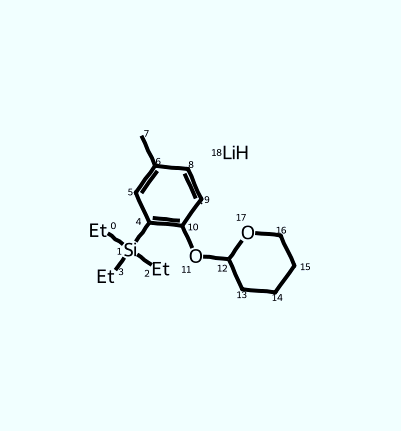 CC[Si](CC)(CC)c1cc(C)c[c]c1OC1CCCCO1.[LiH]